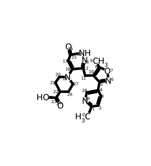 Cc1ccc(-c2noc(C)c2Cc2n[nH]c(=O)cc2N2CCC(C(=O)O)CC2)cn1